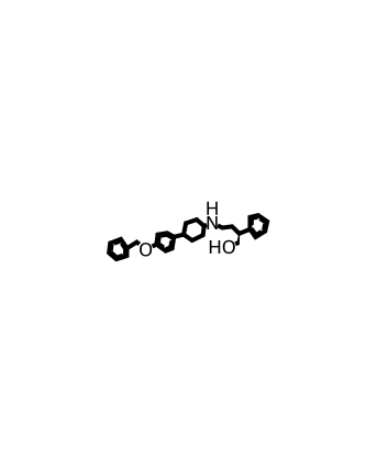 OC[C@@H](CCNC1CCC(c2ccc(OCc3ccccc3)cc2)CC1)c1ccccc1